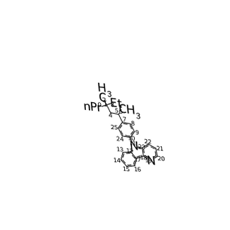 CCCC(C)(CC)CC(C)c1ccc(-n2c3ccccc3c3ncccc32)cc1